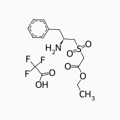 CCOC(=O)CS(=O)(=O)C[C@@H](N)Cc1ccccc1.O=C(O)C(F)(F)F